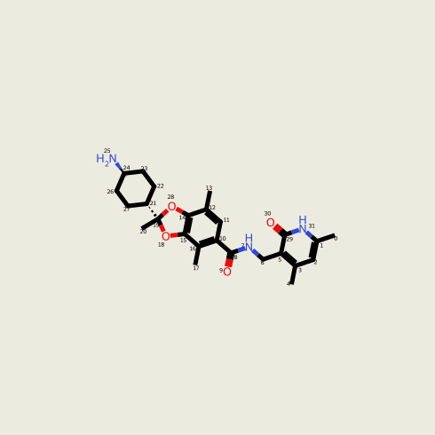 Cc1cc(C)c(CNC(=O)c2cc(C)c3c(c2C)OC(C)([C@H]2CC[C@H](N)CC2)O3)c(=O)[nH]1